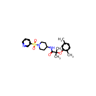 Cc1ccc(C)c(OC(C)(C)C(=O)NC2CCN(S(=O)(=O)c3cccnc3)CC2)c1